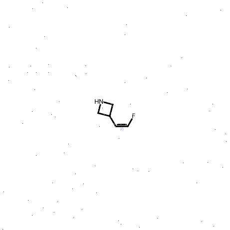 F/C=C\C1CNC1